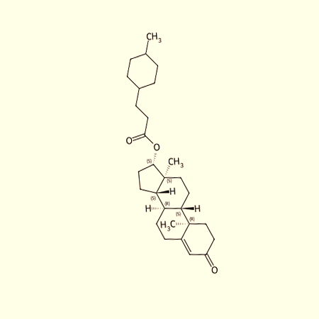 CC1CCC(CCC(=O)O[C@H]2CC[C@H]3[C@@H]4CCC5=CC(=O)CC[C@]5(C)[C@H]4CC[C@]23C)CC1